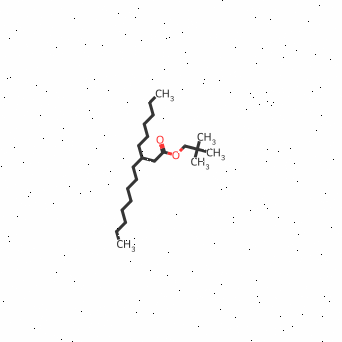 CCCCCCCCC(CCCCCC)CC(=O)OCC(C)(C)C